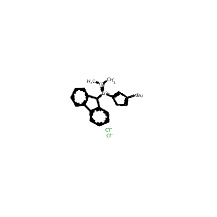 [CH3][Ge]([CH3])=[Zr+2]([C]1=CC(C(C)(C)C)=CC1)[CH]1c2ccccc2-c2ccccc21.[Cl-].[Cl-]